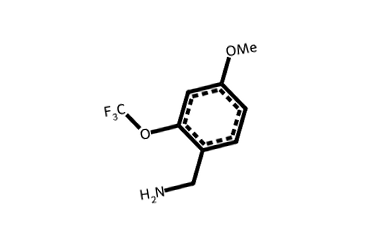 COc1ccc(CN)c(OC(F)(F)F)c1